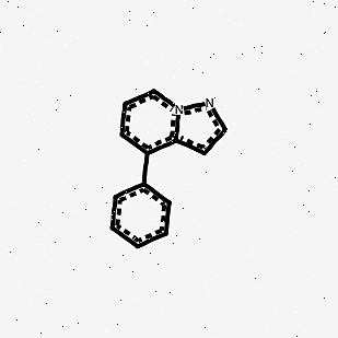 c1ccc(-c2cccn3nccc23)cc1